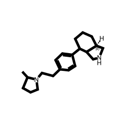 CC1CCCN1CCc1ccc(C2CCC[C@H]3CNCC23)cc1